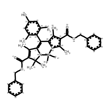 CC1=C(C(=O)OCc2ccccc2)C(C)(C)N2C1=C(c1c(C)cc(O)cc1C)c1c(C)c(C(=O)OCc3ccccc3)c(C)n1[B-]2(F)F